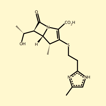 Cc1c[nH]c(CCSC2=C(C(=O)O)N3C(=O)[C@H]([C@@H](C)O)[C@H]3[C@H]2C)n1